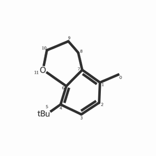 Cc1ccc(C(C)(C)C)c2c1CCCO2